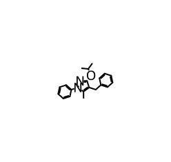 Cc1c(Cc2ccccc2)c(OC(C)C)nn1-c1ccccc1